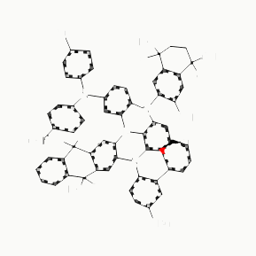 Cc1cc2c3c(c1)N(c1ccc(C(C)(C)C)cc1-c1ccccc1)c1cc4c(cc1B3c1cc(N(c3ccc(C(C)(C)C)cc3)c3ccc(C(C)(C)C)cc3)ccc1N2c1cc2c(cc1C)C(C)(C)CCC2(C)C)C(C)(C)c1ccccc1C4(C)C